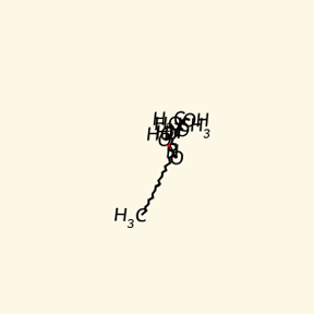 CCCCCCCCC=CCCCCCCCC(=O)N1CCC(C(CNC(=O)C(O)C(C)(C)CO)C(=O)O)CC1